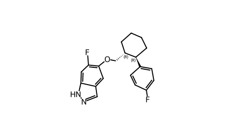 Fc1ccc([C@@H]2CCCC[C@H]2COc2cc3cn[nH]c3cc2F)cc1